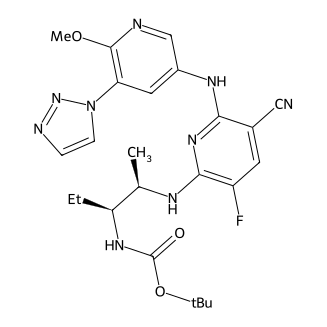 CC[C@H](NC(=O)OC(C)(C)C)[C@@H](C)Nc1nc(Nc2cnc(OC)c(-n3ccnn3)c2)c(C#N)cc1F